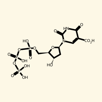 O=C(O)c1cn([C@H]2C[C@H](O)[C@@H](COP(=O)(O)OP(=O)(O)OP(=O)(O)O)O2)c(=O)[nH]c1=O